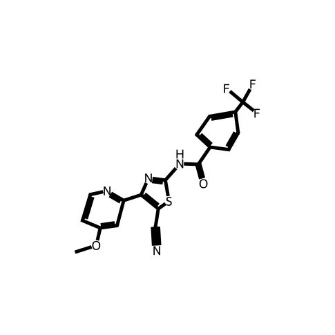 COc1ccnc(-c2nc(NC(=O)c3ccc(C(F)(F)F)cc3)sc2C#N)c1